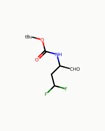 CC(C)(C)OC(=O)NC(C=O)CC(F)F